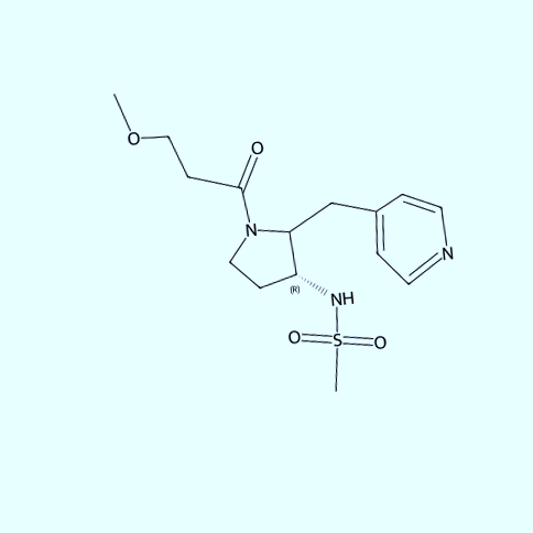 COCCC(=O)N1CC[C@@H](NS(C)(=O)=O)C1Cc1ccncc1